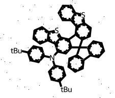 CC(C)(C)c1ccc(N(c2ccc(C(C)(C)C)cc2)c2cc3c(c4sc5ccccc5c24)-c2c(ccc4sc5ccccc5c24)C32c3ccccc3-c3ccccc32)cc1